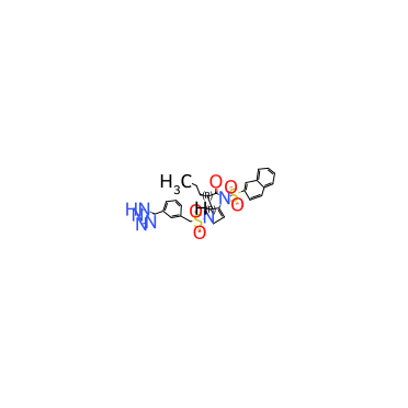 CCC[C@H]1C(=O)N(S(=O)(=O)c2ccc3ccccc3c2)C2=CCN(S(=O)(=O)Cc3cccc(-c4nnn[nH]4)c3)[C@@H]21